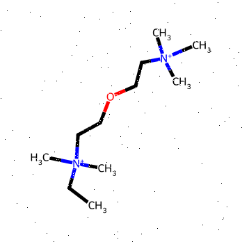 CC[N+](C)(C)CCOCC[N+](C)(C)C